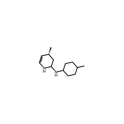 CC1CCC(NC2C[C@H](C)C=CN2)CC1